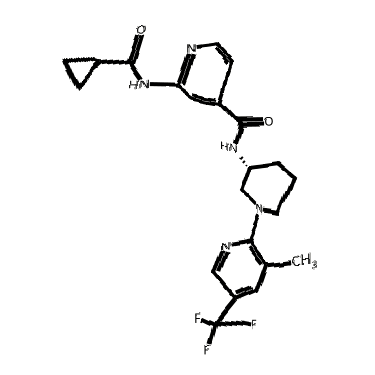 Cc1cc(C(F)(F)F)cnc1N1CCC[C@@H](NC(=O)c2ccnc(NC(=O)C3CC3)c2)C1